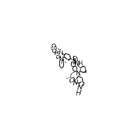 C[C@H]1CCN(c2ccccc2C(=O)NS(=O)(=O)c2ccc(NCC3COCCO3)c([N+](=O)[O-])c2)c2cc3cc[nH]c3nc2O1